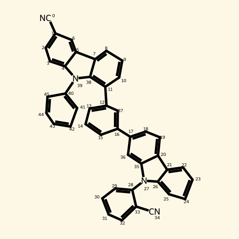 N#Cc1ccc2c(c1)c1cccc(-c3cccc(-c4ccc5c6ccccc6n(-c6ccccc6C#N)c5c4)c3)c1n2-c1ccccc1